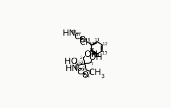 CCC(CO)(CO)CO.Clc1ccccc1.N=C=O.N=C=O